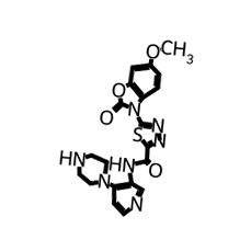 COc1ccc2c(c1)oc(=O)n2-c1nnc(C(=O)Nc2cnccc2N2CCNCC2)s1